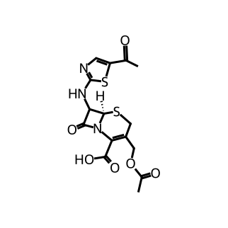 CC(=O)OCC1=C(C(=O)O)N2C(=O)C(Nc3ncc(C(C)=O)s3)[C@H]2SC1